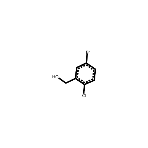 O[CH]c1cc(Br)ccc1Cl